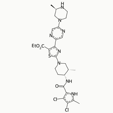 CCOC(=O)c1sc(N2CC[C@@H](NC(=O)c3[nH]c(C)c(Cl)c3Cl)[C@@H](C)C2)nc1-c1cnc(N2CCN[C@H](C)C2)cn1